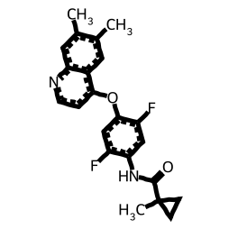 Cc1cc2nccc(Oc3cc(F)c(NC(=O)C4(C)CC4)cc3F)c2cc1C